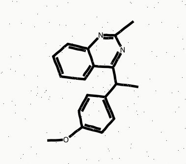 COc1ccc(C(C)c2nc(C)nc3ccccc23)cc1